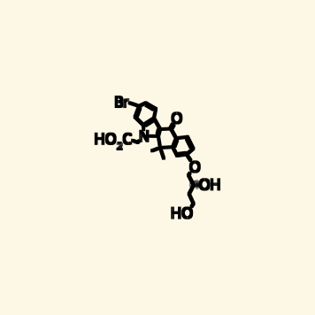 CC1(C)c2cc(OC[C@@H](O)CCO)ccc2C(=O)c2c1n(CC(=O)O)c1cc(Br)ccc21